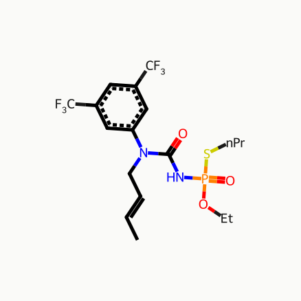 CC=CCN(C(=O)NP(=O)(OCC)SCCC)c1cc(C(F)(F)F)cc(C(F)(F)F)c1